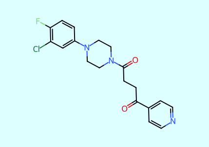 O=C(CCC(=O)N1CCN(c2ccc(F)c(Cl)c2)CC1)c1ccncc1